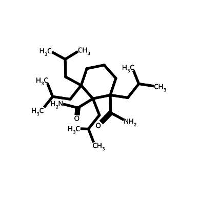 CC(C)CC1(CC(C)C)CCCC(CC(C)C)(C(N)=O)C1(CC(C)C)C(N)=O